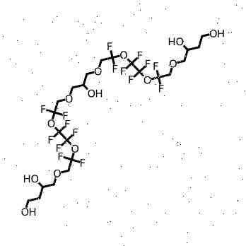 OCCC(O)COCC(F)(F)OC(F)(F)C(F)(F)OC(F)(F)COCC(O)COCC(F)(F)OC(F)(F)C(F)(F)OC(F)(F)COCC(O)CCO